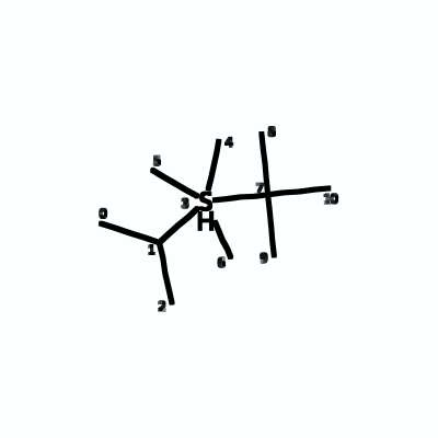 CC(C)[SH](C)(C)(C)C(C)(C)C